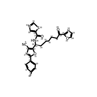 N#Cc1nc(-c2ccc(F)cc2)oc1[C@H](CCCCCC(=O)c1ncco1)NC(=O)c1cncs1